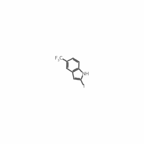 FC(F)(F)c1ccc2[nH]c(I)cc2c1